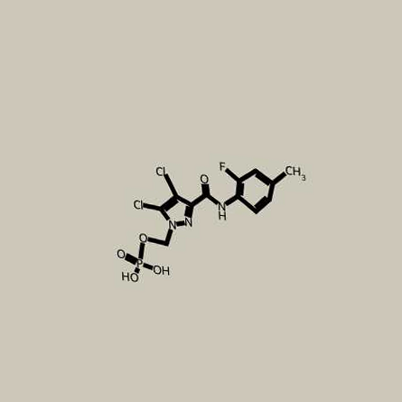 Cc1ccc(NC(=O)c2nn(COP(=O)(O)O)c(Cl)c2Cl)c(F)c1